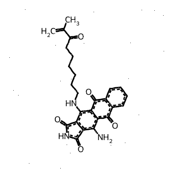 C=C(C)C(=O)CCCCCCNc1c2c(=O)[nH]c(=O)c2c(N)c2c(=O)c3ccccc3c(=O)c12